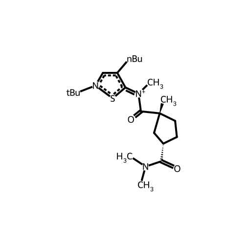 CCCCc1cn(C(C)(C)C)s/c1=[N+](/C)C(=O)[C@]1(C)CC[C@H](C(=O)N(C)C)C1